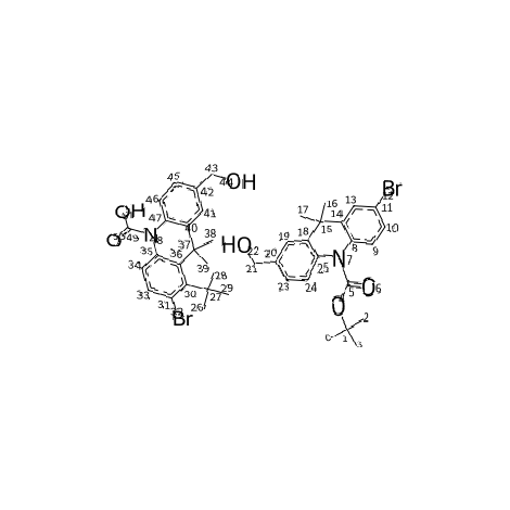 CC(C)(C)OC(=O)N1c2ccc(Br)cc2C(C)(C)c2cc(CO)ccc21.CC(C)(C)c1c(Br)ccc2c1C(C)(C)c1cc(CO)ccc1N2C(=O)O